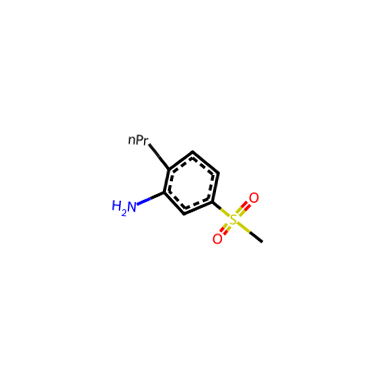 CCCc1ccc(S(C)(=O)=O)cc1N